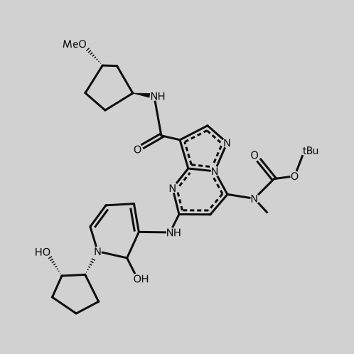 CO[C@H]1CC[C@H](NC(=O)c2cnn3c(N(C)C(=O)OC(C)(C)C)cc(NC4=CC=CN([C@@H]5CCC[C@@H]5O)C4O)nc23)C1